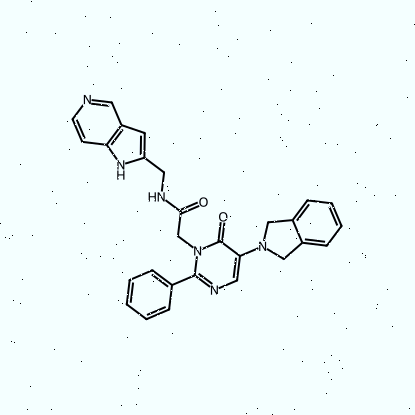 O=C(Cn1c(-c2ccccc2)ncc(N2Cc3ccccc3C2)c1=O)NCc1cc2cnccc2[nH]1